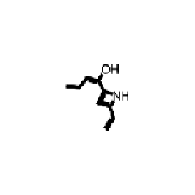 C=CC1=C=C(/C(O)=C\CC)N1